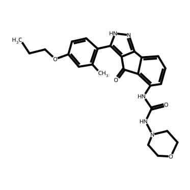 CCCOc1ccc(-c2[nH]nc3c2C(=O)c2c(NC(=O)NN4CCOCC4)cccc2-3)c(C)c1